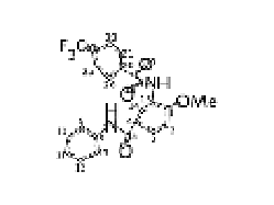 COc1ccc(C(=O)Nc2ccccc2)cc1NS(=O)(=O)c1ccc(C(F)(F)F)cc1